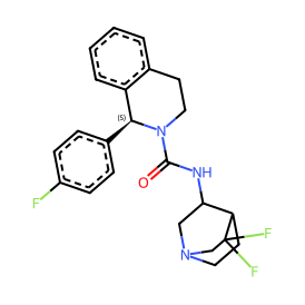 O=C(NC1CN2CCC1C(F)(F)C2)N1CCc2ccccc2[C@@H]1c1ccc(F)cc1